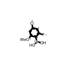 COc1cc(Cl)cc(F)c1B(O)O